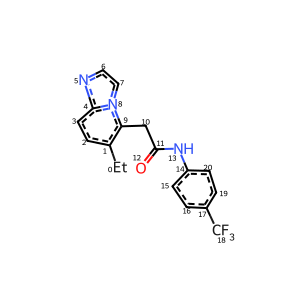 CCc1ccc2nccn2c1CC(=O)Nc1ccc(C(F)(F)F)cc1